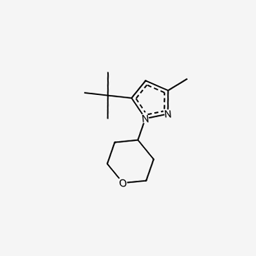 Cc1cc(C(C)(C)C)n(C2CCOCC2)n1